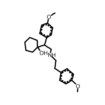 COc1ccc(CCNCC(c2ccc(OC)cc2)C2(O)CCCCC2)cc1